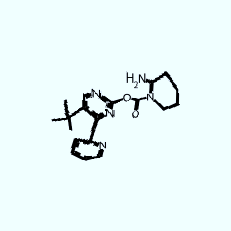 CC(C)(C)c1cnc(OC(=O)N2CCCCC2N)nc1-c1ccccn1